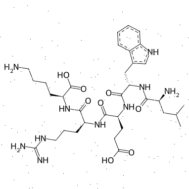 CC(C)C[C@H](N)C(=O)N[C@@H](Cc1c[nH]c2ccccc12)C(=O)N[C@@H](CCC(=O)O)C(=O)N[C@@H](CCCNC(=N)N)C(=O)N[C@@H](CCCCN)C(=O)O